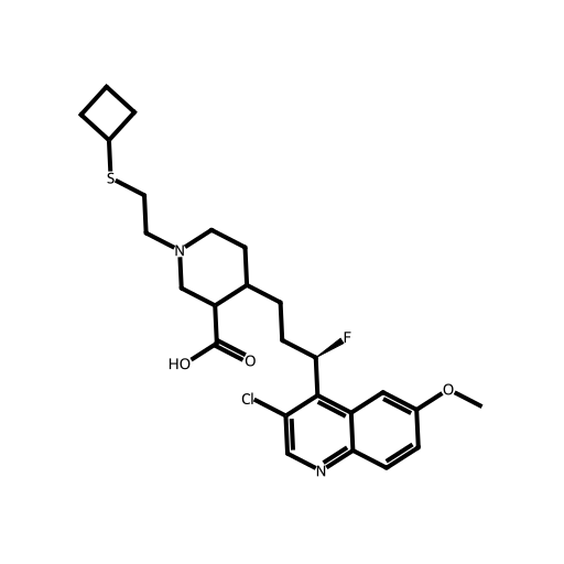 COc1ccc2ncc(Cl)c([C@H](F)CCC3CCN(CCSC4CCC4)CC3C(=O)O)c2c1